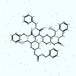 O=C(O)CC1CN(CC(=O)OCc2ccccc2)CCN1C(C(=O)OCc1ccccc1)C(C(=O)OCc1ccccc1)N1CCN(CC(=O)OCc2ccccc2)C(CCO)C1